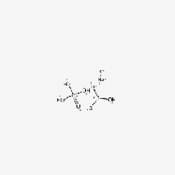 O=P(O)(O)O.[K+].[Na+].[O-]B([O-])O